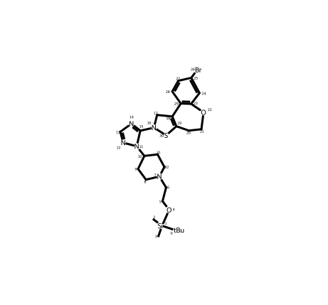 CC(C)(C)[Si](C)(C)OCCN1CCC(n2ncnc2N2CC3=C(CCOc4cc(Br)ccc43)S2)CC1